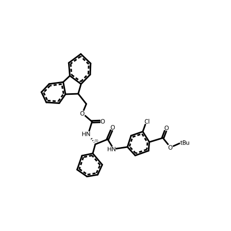 CC(C)(C)OC(=O)c1ccc(NC(=O)[C@@H](NC(=O)OCC2c3ccccc3-c3ccccc32)c2ccccc2)cc1Cl